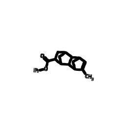 CC1=CC2CC1C1C3CC(CC3C(=O)OC(C)C)C21